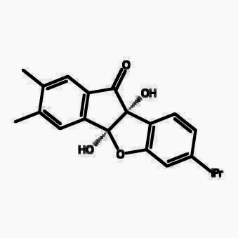 Cc1cc2c(cc1C)[C@]1(O)Oc3cc(C(C)C)ccc3[C@]1(O)C2=O